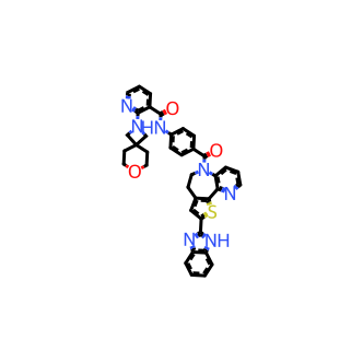 O=C(Nc1ccc(C(=O)N2CCc3cc(-c4nc5ccccc5[nH]4)sc3-c3ncccc32)cc1)c1cccnc1N1CC2(CCOCC2)C1